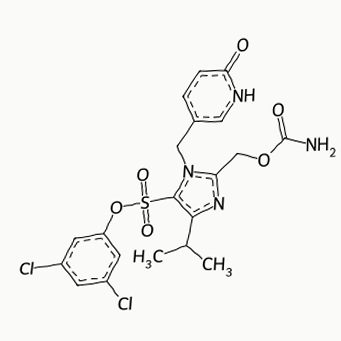 CC(C)c1nc(COC(N)=O)n(Cc2ccc(=O)[nH]c2)c1S(=O)(=O)Oc1cc(Cl)cc(Cl)c1